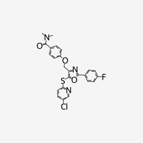 CN(C)C(=O)c1ccc(OCc2nc(-c3ccc(F)cc3)oc2Sc2ccc(Cl)cn2)cc1